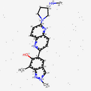 Cc1c(O)c(-c2ccc3nc(N4CC[C@H](NC(C)C)C4)ccc3n2)cc2cn(C)nc12